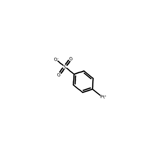 O=S(=O)([O-])c1cc[c]([Pt+])cc1